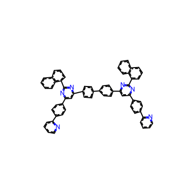 c1ccc(-c2ccc(-c3cc(-c4ccc(-c5ccc(-c6cc(-c7ccc(-c8ccccn8)cc7)nc(-c7cccc8ccccc78)n6)cc5)cc4)nc(-c4cccc5ccccc45)n3)cc2)nc1